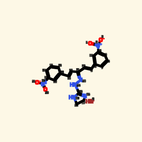 Br.O=[N+]([O-])c1cccc(C=CC(C=Cc2cccc([N+](=O)[O-])c2)=NNC2=NCCN2)c1